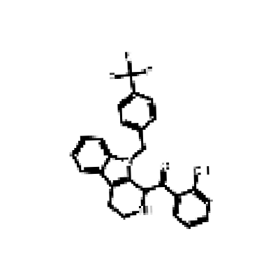 O=C(c1ccccc1O)C1NCCc2c1n(Cc1ccc(C(F)(F)F)cc1)c1ccccc21